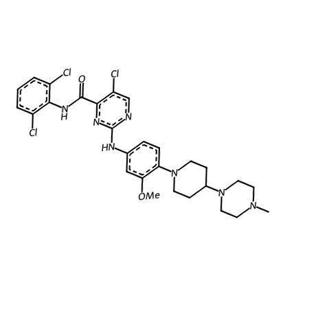 COc1cc(Nc2ncc(Cl)c(C(=O)Nc3c(Cl)cccc3Cl)n2)ccc1N1CCC(N2CCN(C)CC2)CC1